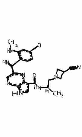 CNc1cc(Cl)ccc1C(=N)c1cnc2[nH]cc(C(=O)N[C@H](C)CN3CC(C#N)C3)c2n1